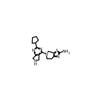 Nc1nc2c(s1)CN(c1nc(C3CCCC3)nc3c1CNC3)CC2